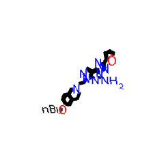 CCCCOc1ccc2c(c1)CCN(CCn1ncc3c1nc(N)n1nc(-c4ccco4)nc31)C2